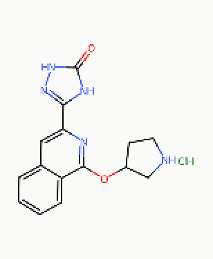 Cl.O=c1[nH]nc(-c2cc3ccccc3c(OC3CCNC3)n2)[nH]1